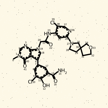 Cn1cnc2c(c(-c3cc(Cl)c(O)c(C(N)=O)c3)cn2CC(=O)Nc2cc(N3CCC4(CCOC4)C3)ncc2Cl)c1=O